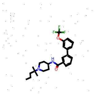 CCCC(C)(C)N1CCC(NC(=O)c2cccc(-c3cccc(OC(F)(F)F)c3)c2)CC1